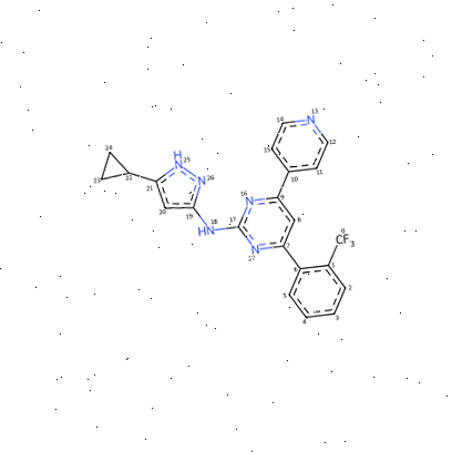 FC(F)(F)c1ccccc1-c1cc(-c2ccncc2)nc(Nc2cc(C3CC3)[nH]n2)n1